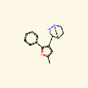 Cc1cc(C2CNN3CCC2CC3)c(-c2ccccc2)o1